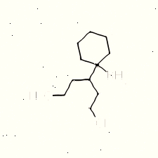 BC1(C(CCC)CCC)CCCCC1